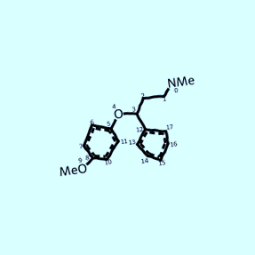 CNCCC(Oc1ccc(OC)cc1)c1ccccc1